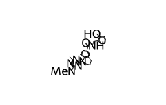 CNc1nc(C)nc(N2CCCc3cc(C(=O)NCc4ccccc4O)ccc32)n1